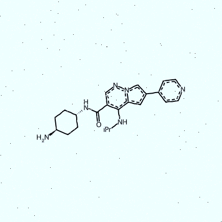 CC(C)Nc1c(C(=O)N[C@H]2CC[C@H](N)CC2)cnn2cc(-c3ccncc3)cc12